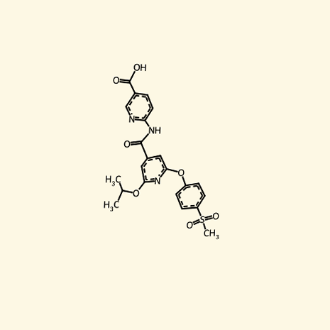 CC(C)Oc1cc(C(=O)Nc2ccc(C(=O)O)cn2)cc(Oc2ccc(S(C)(=O)=O)cc2)n1